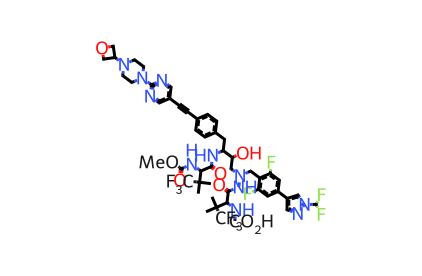 COC(=O)NC(C(=O)NC(Cc1ccc(C#Cc2cnc(N3CCN(C4COC4)CC3)nc2)cc1)C(O)CN(Cc1c(F)cc(-c2cnn(C(F)F)c2)cc1F)NC(=O)C(NC(=O)O)C(C)(C)C(F)(F)F)C(C)(C)C(F)(F)F